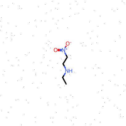 CCNCC[N+](=O)[O-]